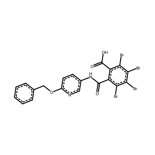 O=C(O)c1c(Br)c(Br)c(Br)c(Br)c1C(=O)Nc1ccc(OCc2ccccc2)nc1